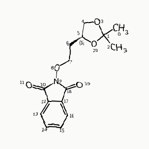 CC1(C)OC[C@H](CCON2C(=O)c3ccccc3C2=O)O1